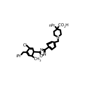 CCCC1(C(=O)O)CCN(Cc2ccc(-c3noc(C4C=C(Cl)C(CC(C)C)=CC4C)n3)cc2)CC1